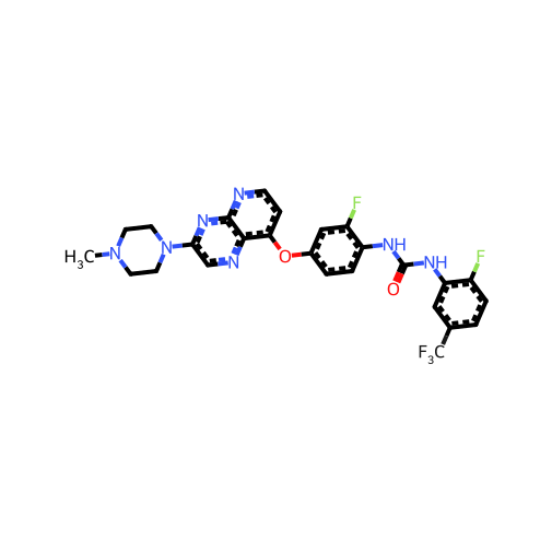 CN1CCN(c2cnc3c(Oc4ccc(NC(=O)Nc5cc(C(F)(F)F)ccc5F)c(F)c4)ccnc3n2)CC1